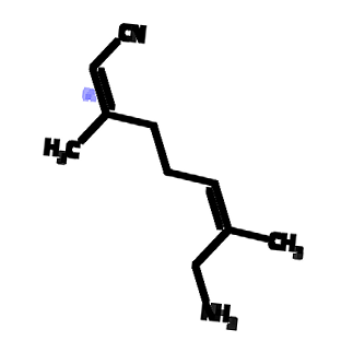 CC(=CCC/C(C)=C\C#N)CN